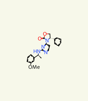 COc1cccc([C@H](C)Nc2nccc(N3C(=O)OC[C@@H]3c3ccccc3)n2)c1